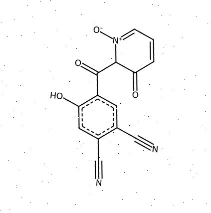 N#Cc1cc(O)c(C(=O)C2C(=O)C=CC=[N+]2[O-])cc1C#N